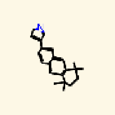 CC1(C)CCC(C)(C)c2cc3cc(C4=CCN=C4)ccc3cc21